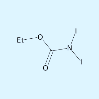 CCOC(=O)N(I)I